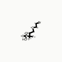 O=P(O)(O)C(F)(F)CCOCCBr